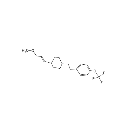 COCC=CC1CCC(CCc2ccc(OC(F)(F)F)cc2)CC1